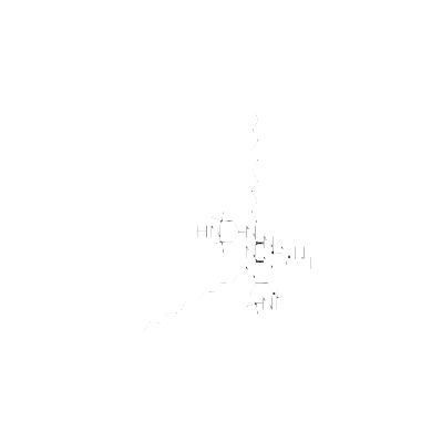 CCCCCCCCCCCCN(c1nc(NO)nc(N(CCCCCCCCCCCC)C2CC(C)(C)NC(C)(C)C2)n1)C1CC(C)(C)NC(C)(C)C1